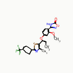 CCC(Oc1ccc(-c2noc(=O)[nH]2)c(OC)c1)c1sc(C2CCC(C(F)(F)F)CC2)nc1C